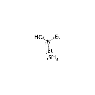 CCN(O)CC.[SiH4]